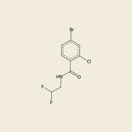 O=C(NCC(F)F)c1ccc(Br)cc1Cl